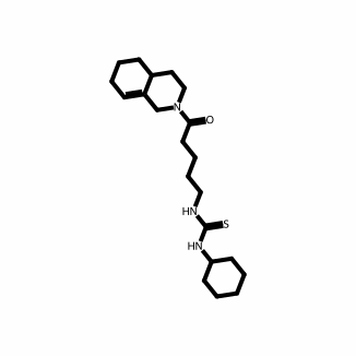 O=C(CCCCNC(=S)NC1CCCCC1)N1CCC2CCCC=C2C1